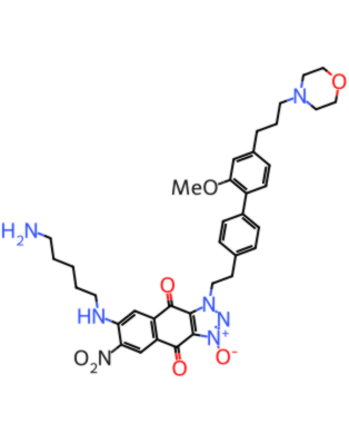 COc1cc(CCCN2CCOCC2)ccc1-c1ccc(CCn2n[n+]([O-])c3c2C(=O)c2cc(NCCCCCN)c([N+](=O)[O-])cc2C3=O)cc1